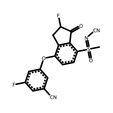 CS(=O)(=NC#N)c1ccc(Oc2cc(F)cc(C#N)c2)c2c1C(=O)C(F)C2